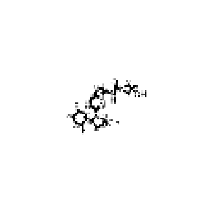 CC1(O)CN(C(=O)Nc2cnc3ccc(N4CCC[C@@H]4c4cc(F)ccc4F)nn23)C1.Cl